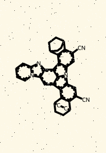 N#Cc1cc2c(c3c1C1CCC3CC1)c1cc3c(nc4ccccn43)c3c4c5c(c(C#N)cc4n2c13)C1CCC5CC1